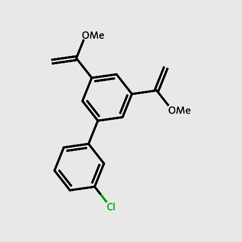 C=C(OC)c1cc(C(=C)OC)cc(-c2cccc(Cl)c2)c1